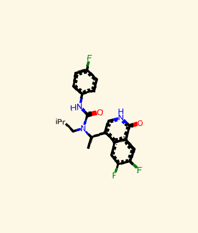 CC(C)CN(C(=O)Nc1ccc(F)cc1)C(C)c1c[nH]c(=O)c2cc(F)c(F)cc12